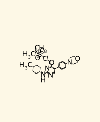 CN(C)S(=O)(=O)C1CC(Oc2nc(N[C@H]3CC[C@@H](C)CC3)ncc2-c2ccc(N3CCOCC3)cc2)C1